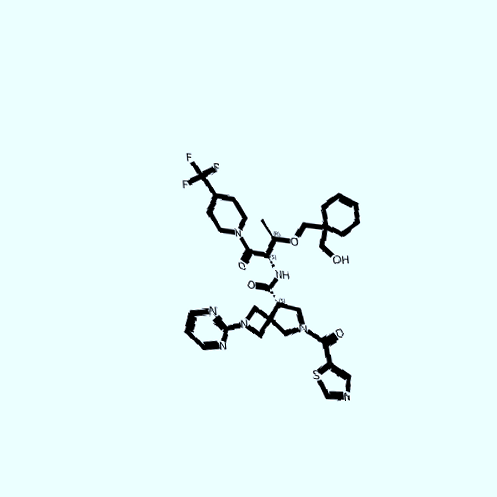 C[C@@H](OCC1(CO)CC=CCC1)[C@H](NC(=O)[C@@H]1CN(C(=O)c2cncs2)CC12CN(c1ncccn1)C2)C(=O)N1CCC(C(F)(F)F)CC1